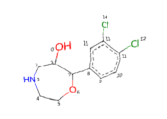 OC1CNCCOC1c1ccc(Cl)c(Cl)c1